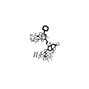 CC(C)(C)[Si](C)(C)OC(C=C[C@@H]1[C@H]2CC(=O)O[C@H]2C[C@H]1O[Si](C)(C)C(C)(C)C)CCc1ccccc1